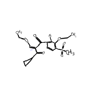 CCO/C=C(\C(=O)c1ccc(S(C)(=O)=O)c(OCC)c1Cl)C(=O)C1CC1